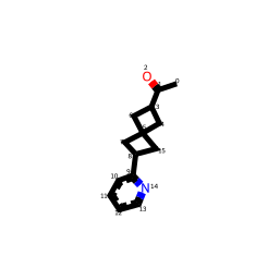 CC(=O)C1CC2(C1)CC(c1ccccn1)C2